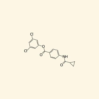 O=C(Oc1cc(Cl)cc(Cl)c1)c1ccc(NC(=O)C2CC2)cc1